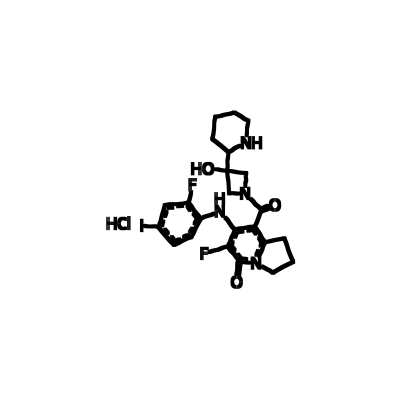 Cl.O=C(c1c(Nc2ccc(I)cc2F)c(F)c(=O)n2c1CCC2)N1CC(O)(C2CCCCN2)C1